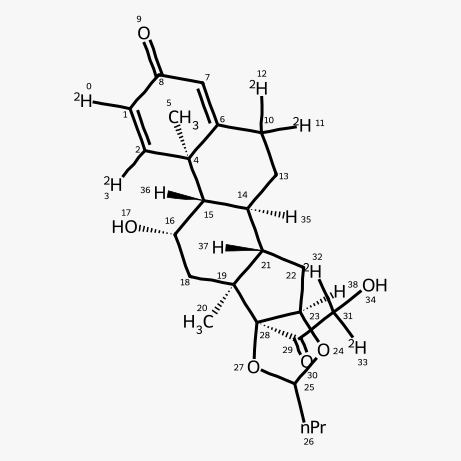 [2H]C1=C([2H])[C@@]2(C)C(=CC1=O)C([2H])([2H])C[C@@H]1[C@@H]2[C@@H](O)C[C@@]2(C)[C@H]1C[C@H]1OC(CCC)O[C@]12C(=O)C([2H])([2H])O